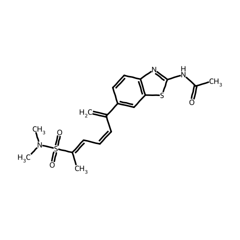 C=C(/C=C\C=C(/C)S(=O)(=O)N(C)C)c1ccc2nc(NC(C)=O)sc2c1